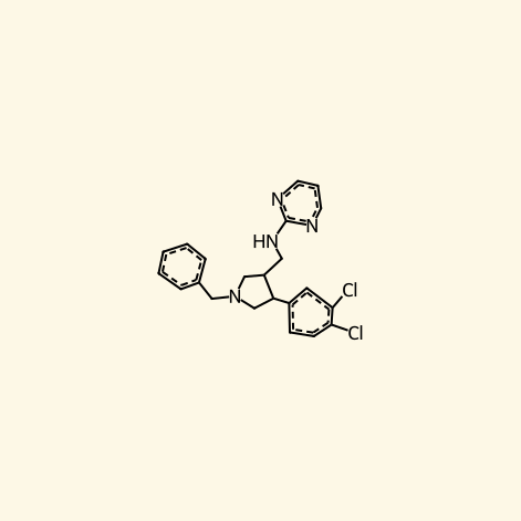 Clc1ccc(C2CN(Cc3ccccc3)CC2CNc2ncccn2)cc1Cl